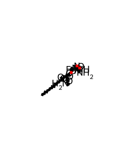 CCCCCCCCCCCCCCCCCC(=O)OCC(COC(=O)[C@@H](N)C(C)C)CC(=O)OC[C@H]1O[C@@H](n2cnc3c(=O)[nH]c(N)nc32)C[C@@H]1F